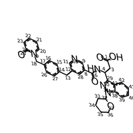 O=C(O)CC(NC(=O)c1cncc(Cc2ccc(Cn3ccccc3=O)cc2)c1)c1nn(C2CCCCO2)c2ccccc12